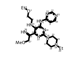 CCOCCNc1c(Nc2ccncn2)nc(N2CCN(CC)CC2)nc1C(=N)COC